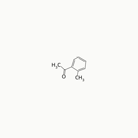 CC(=O)c1c[c]ccc1C